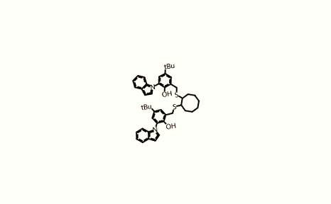 CC(C)(C)c1cc(CSC2CCCCCCC2SCc2cc(C(C)(C)C)cc(-n3ccc4ccccc43)c2O)c(O)c(-n2ccc3ccccc32)c1